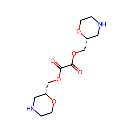 O=C(OC[C@H]1CNCCO1)C(=O)OC[C@H]1CNCCO1